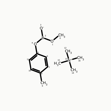 COB([O-])Oc1ccc(C)cc1.C[N+](C)(C)C